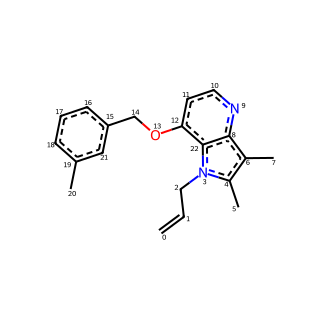 C=CCn1c(C)c(C)c2nccc(OCc3cccc(C)c3)c21